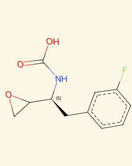 O=C(O)N[C@@H](Cc1cccc(F)c1)C1CO1